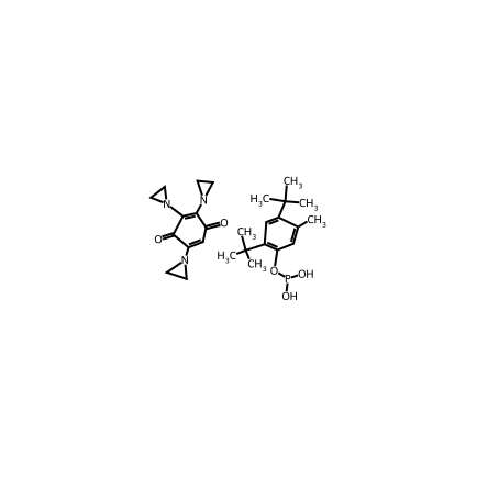 Cc1cc(OP(O)O)c(C(C)(C)C)cc1C(C)(C)C.O=C1C=C(N2CC2)C(=O)C(N2CC2)=C1N1CC1